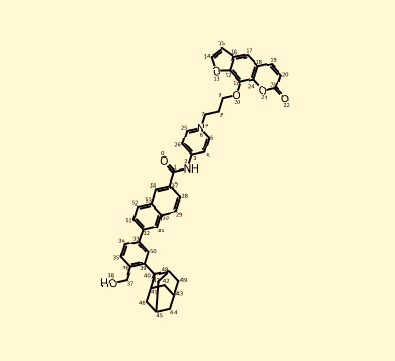 O=C(Nc1cc[n+](CCCOc2c3occc3cc3ccc(=O)oc23)cc1)c1ccc2cc(-c3ccc(CO)c(C4C5CC6CC(C5)CC4C6)c3)ccc2c1